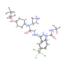 CC(C)(C)NC(=O)n1nc(NCC(=O)N(C2CCC(O[Si](C)(C)C(C)(C)C)CC2)C2CNC2)c2cc(C(F)(F)F)ccc21